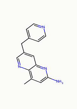 Cc1cc(N)nc2cc(Cc3ccncc3)cnc12